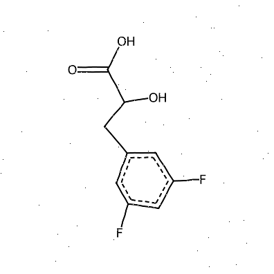 O=C(O)C(O)Cc1cc(F)cc(F)c1